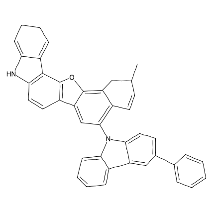 CC1C=Cc2c(-n3c4ccccc4c4cc(-c5ccccc5)ccc43)cc3c(oc4c3ccc3[nH]c5c(c34)=CCCC=5)c2C1